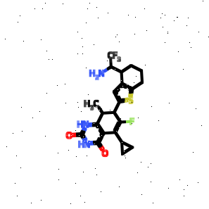 CC1c2[nH]c(=O)[nH]c(=O)c2C(C2CC2)=C(F)C1c1cc2c(s1)CCCC2C(N)C(F)(F)F